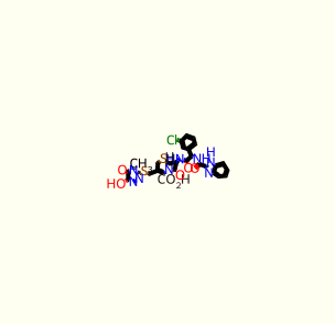 Cn1c(SCC2=C(C(=O)O)N3C(=O)C(NC(=O)C(NC(=O)c4nc5ccccc5[nH]4)c4cccc(Cl)c4)[C@H]3SC2)nnc(O)c1=O